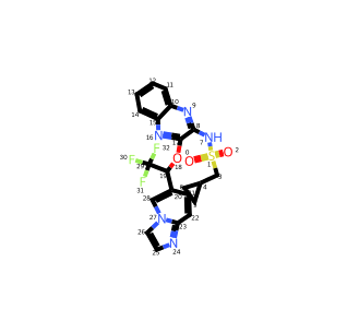 O=S(=O)(CC1CC1)Nc1nc2ccccc2nc1OC(c1ccc2nccn2c1)C(F)(F)F